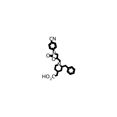 N#Cc1ccc(N2CC(CN3CCC(CC(=O)O)CC3Cc3ccccc3)OC2=O)cc1